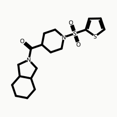 O=C(C1CCN(S(=O)(=O)c2cccs2)CC1)N1CC2CCCCC2C1